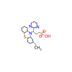 CCc1ccc2c(c1)N(C(CCS(=O)(=O)O)c1ncccn1)c1ccccc1S2